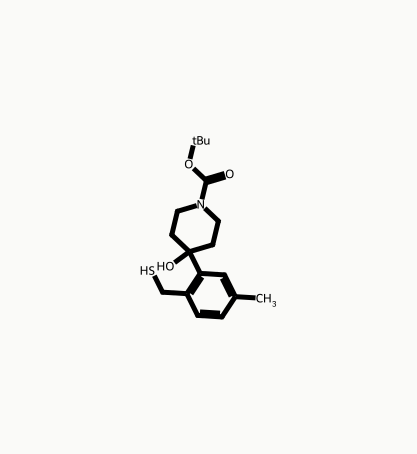 Cc1ccc(CS)c(C2(O)CCN(C(=O)OC(C)(C)C)CC2)c1